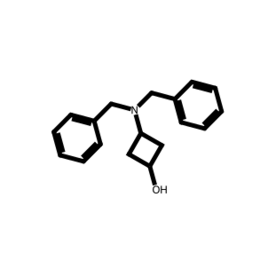 OC1CC(N(Cc2ccccc2)Cc2ccccc2)C1